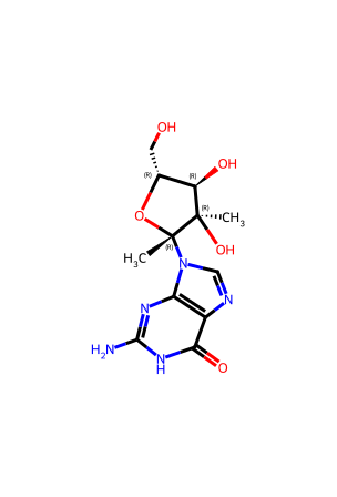 C[C@@]1(n2cnc3c(=O)[nH]c(N)nc32)O[C@H](CO)[C@@H](O)[C@@]1(C)O